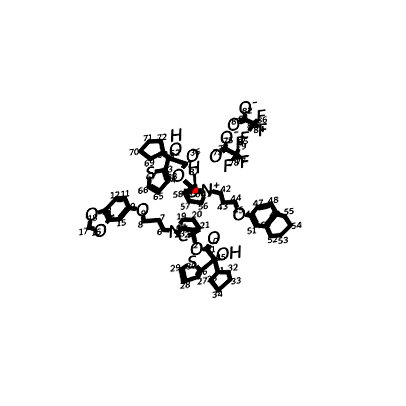 O=C(OC1C[N+]2(CCCOc3ccc4c(c3)OCO4)CCC1CC2)[C@](O)(c1cccs1)C1CCCC1.O=C(O[C@H]1C[N+]2(CCCOc3ccc4c(c3)CCCC4)CCC1CC2)[C@](O)(c1cccs1)C1CCCC1.O=C([O-])C(F)(F)F.O=C([O-])C(F)(F)F